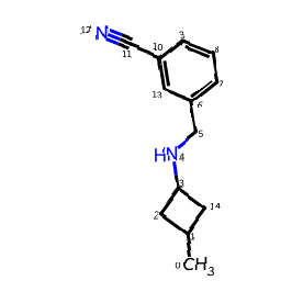 CC1CC(NCc2cccc(C#N)c2)C1